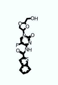 O=C(Nc1nc(=O)n(C2COC(CO)O2)cc1F)c1cc2ccccc2s1